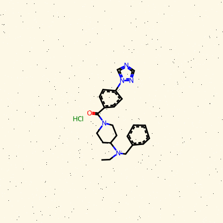 CCN(Cc1ccccc1)C1CCN(C(=O)c2ccc(-n3cncn3)cc2)CC1.Cl